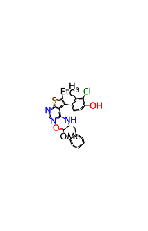 CCc1sc2ncnc(N[C@H](Cc3ccccc3)C(=O)OC)c2c1-c1ccc(O)c(Cl)c1C